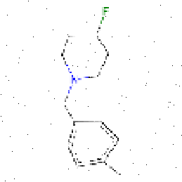 Cc1ccc(CN2CCC(F)CC2)cc1